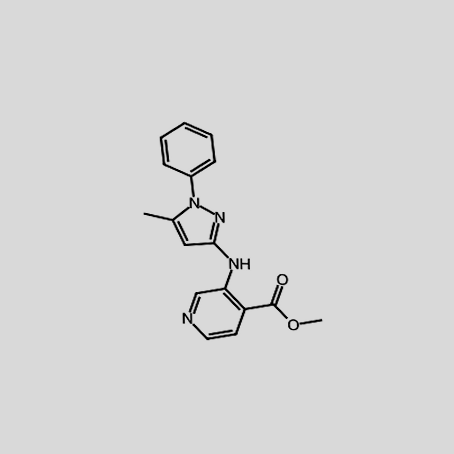 COC(=O)c1ccncc1Nc1cc(C)n(-c2ccccc2)n1